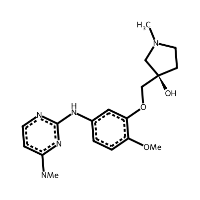 CNc1ccnc(Nc2ccc(OC)c(OC[C@@]3(O)CCN(C)C3)c2)n1